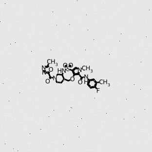 Cc1nnc(C(=O)N2CCC3COc4c(cn(C)c4C(=O)Nc4ccc(F)c(C)c4)S(=O)(=O)NC3C2)o1